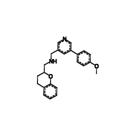 COc1ccc(-c2cncc(CNCC3CCc4ccccc4O3)c2)cc1